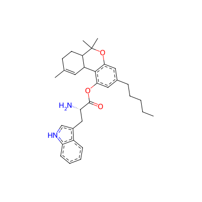 CCCCCc1cc(OC(=O)[C@@H](N)Cc2c[nH]c3ccccc23)c2c(c1)OC(C)(C)C1CCC(C)=CC21